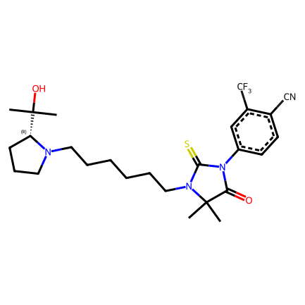 CC(C)(O)[C@H]1CCCN1CCCCCCN1C(=S)N(c2ccc(C#N)c(C(F)(F)F)c2)C(=O)C1(C)C